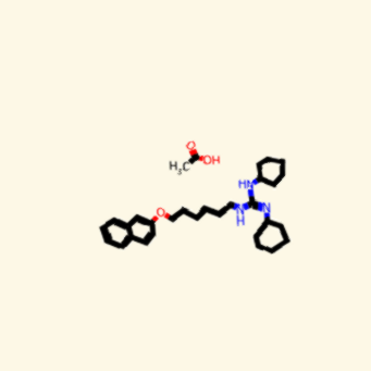 CC(=O)O.c1ccc2cc(OCCCCCCN/C(=N\C3CCCCC3)NC3CCCCC3)ccc2c1